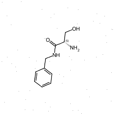 N[C@@H](CO)C(=O)NCc1ccccc1